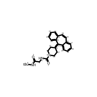 CC(C)(C)NC(=O)CNC(=O)N1CCC(=C2c3ccccc3C=Cc3ccccc32)CC1